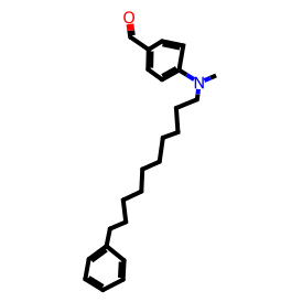 CN(CCCCCCCCCCc1ccccc1)c1ccc(C=O)cc1